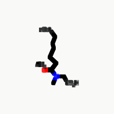 CCCCCCCCCCCCCC(=O)N(C)CC(=O)O.[AlH3]